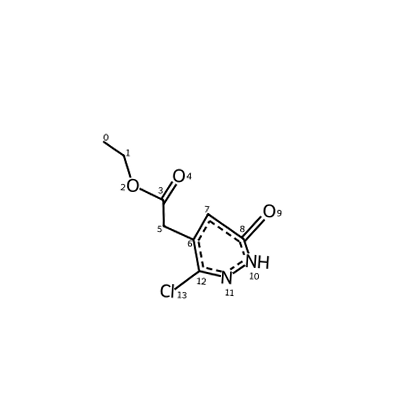 CCOC(=O)Cc1cc(=O)[nH]nc1Cl